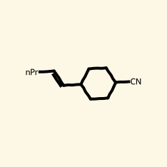 CCC/C=C/C1CCC(C#N)CC1